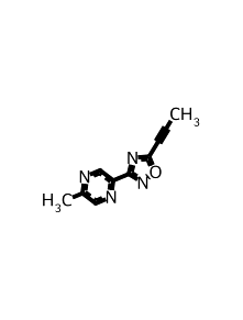 CC#Cc1nc(-c2cnc(C)cn2)no1